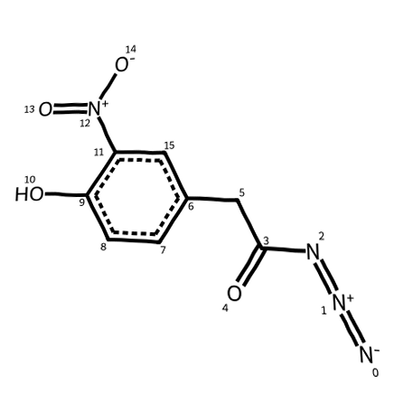 [N-]=[N+]=NC(=O)Cc1ccc(O)c([N+](=O)[O-])c1